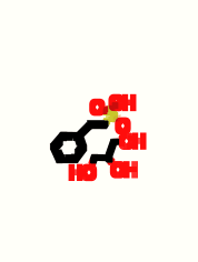 O=S(=O)(O)C=Cc1ccccc1.OCC(O)CO